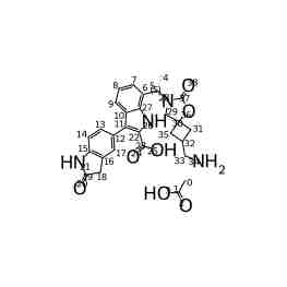 CC(=O)O.C[C@@H](c1cccc2c(-c3ccc4c(c3)CC(=O)N4)c(C(=O)O)[nH]c12)N1CC2(CC(CN)C2)OC1=O